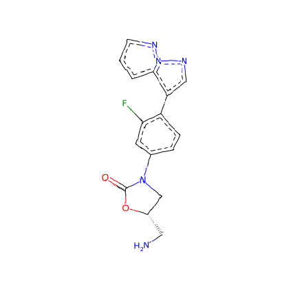 NC[C@H]1CN(c2ccc(-c3cnn4ncccc34)c(F)c2)C(=O)O1